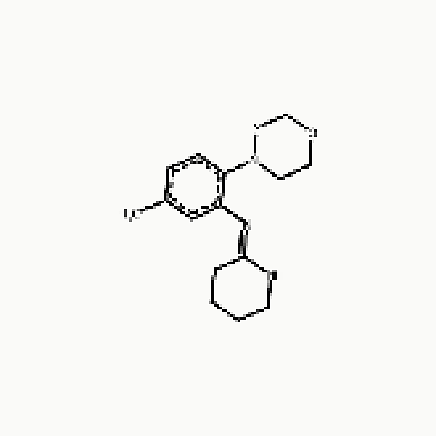 Cc1ccc(N2CCOCS2)c(N=C2CCCCN2)c1